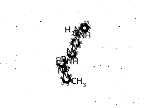 CC1CCCN(c2nc(CF)c(C(=O)Nc3ccc(N4CCN(C(=O)Nc5ccccc5N)CC4)nc3)o2)C1